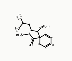 CCCCCCCCCCCC(=O)C1(C(CCCCC)CCC(C)O)C=CC=CC1